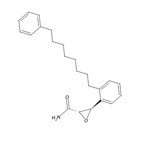 NC(=O)[C@H]1O[C@@H]1c1ccccc1CCCCCCCCc1ccccc1